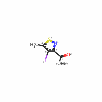 COC(=O)c1nsc(C)c1I